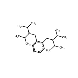 CC(C)P(Cc1ccncc1CP(C(C)C)C(C)C)C(C)C